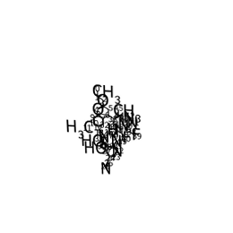 CCOC(=O)CC(c1ccc(C)c(CN2C[C@H]3CCCN3c3ncc(C#N)cc3S2(O)O)c1)c1ccn2c(C(F)F)nnc2c1C